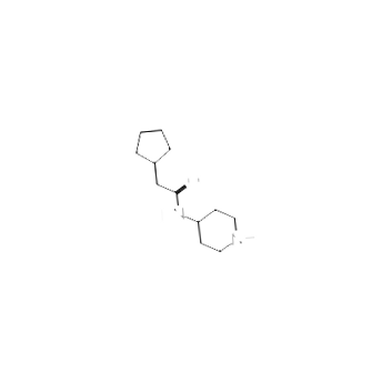 O=C(CC1CCCC1)NC1CCNCC1